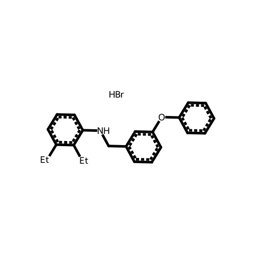 Br.CCc1cccc(NCc2cccc(Oc3ccccc3)c2)c1CC